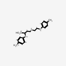 Cc1ccc(OCCOCCC(Sc2ccc(C)cc2)C(=O)O)cc1